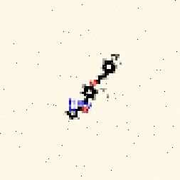 FC(F)(F)c1ccc(/C=C/COc2ccc(-c3noc(C4CCCN4)n3)cc2C(F)(F)F)cc1